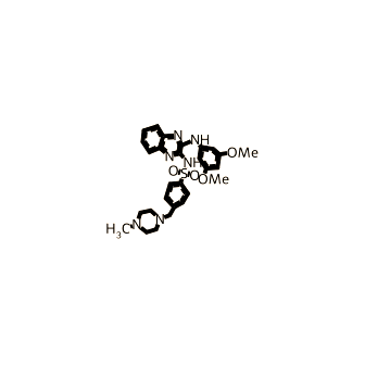 COc1cc(Nc2nc3ccccc3nc2NS(=O)(=O)c2ccc(CN3CCN(C)CC3)cc2)cc(OC)c1